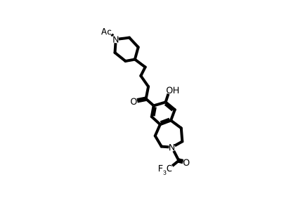 CC(=O)N1CCC(CCCC(=O)c2cc3c(cc2O)CCN(C(=O)C(F)(F)F)CC3)CC1